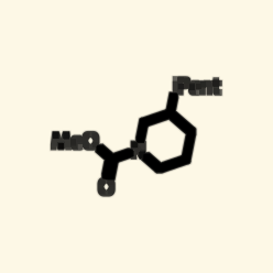 CCCC(C)C1CCCN(C(=O)OC)C1